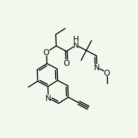 C#Cc1cnc2c(C)cc(OC(CC)C(=O)NC(C)(C)C=NOC)cc2c1